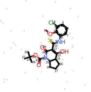 COc1c(Cl)cccc1NC(=S)C1=C(O)C2CCCC2N(C(=O)OC(C)(C)C)C1=O